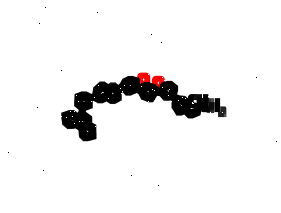 C=C/C=C\c1ccc(-c2ccc3oc4c(ccc5c6cc(-c7ccc8cc(-c9cccc(-c%10cc%11ccccc%11c%11ccccc%10%11)c9)ccc8c7)ccc6oc54)c3c2)cc1C